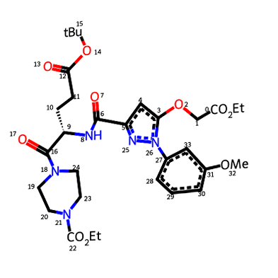 CCOC(=O)COc1cc(C(=O)N[C@@H](CCC(=O)OC(C)(C)C)C(=O)N2CCN(C(=O)OCC)CC2)nn1-c1cccc(OC)c1